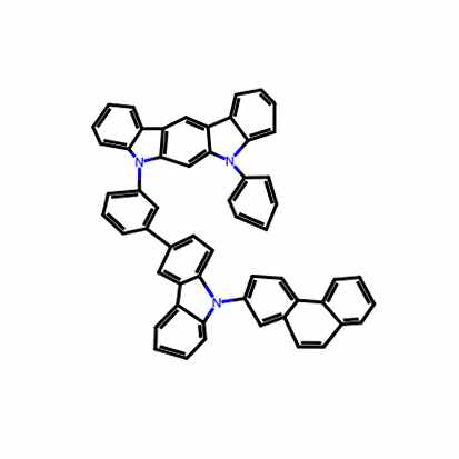 c1ccc(-n2c3ccccc3c3cc4c5ccccc5n(-c5cccc(-c6ccc7c(c6)c6ccccc6n7-c6ccc7c(ccc8ccccc87)c6)c5)c4cc32)cc1